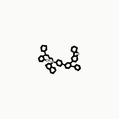 Cc1ccccc1/C(=C\C=C\N(c1ccc(-c2ccc(-c3ccccc3)c(-c3ccc4sc5ccccc5c4c3)c2)cc1)c1cccc2ccccc12)c1ccccc1